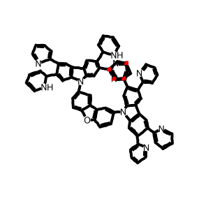 C1=CNC(c2cc3c4cc(-c5ccccn5)c(C5C=CC=CN5)cc4n(-c4ccc5oc6ccc(-n7c8cc(-c9ccccn9)c(-c9ccccn9)cc8c8cc(-c9ccccn9)c(-c9ccccn9)cc87)cc6c5c4)c3cc2-c2ccccn2)C=C1